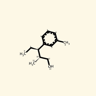 CC[C@@H](c1cccc(C)c1)[C@@H](C)CO